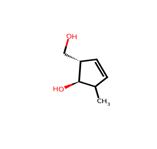 CC1C=C[C@@H](CO)[C@@H]1O